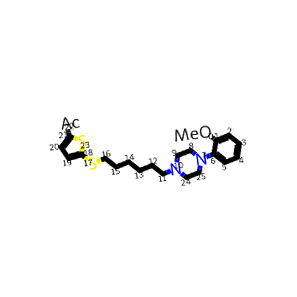 COc1ccccc1N1CCN(CCCCCCSc2ccc(C(C)=O)s2)CC1